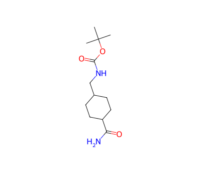 CC(C)(C)OC(=O)NCC1CCC(C(N)=O)CC1